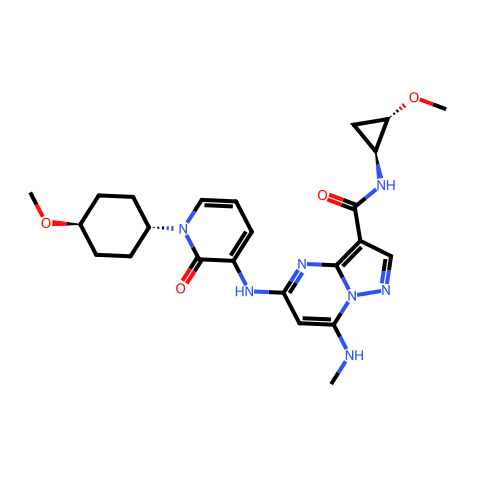 CNc1cc(Nc2cccn([C@H]3CC[C@H](OC)CC3)c2=O)nc2c(C(=O)N[C@H]3C[C@@H]3OC)cnn12